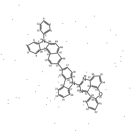 c1ccc(-n2c3ccccc3c3c4ccc(-c5ccc6c(c5)c5ccccc5n6-c5nc6c7c(cccc7n5)Oc5ccccc5-6)cc4ccc32)cc1